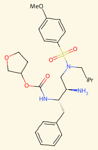 COc1ccc(S(=O)(=O)N(CC(C)C)C[C@@H](N)[C@H](Cc2ccccc2)NC(=O)OC2CCOC2)cc1